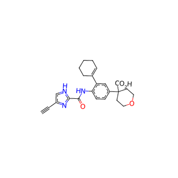 C#Cc1c[nH]c(C(=O)Nc2ccc(C3(C(=O)O)CCOCC3)cc2C2=CCCCC2)n1